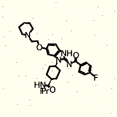 CC(C)NC(=O)[C@H]1CC[C@@H](n2/c(=N/C(=O)c3ccc(F)cc3)[nH]c3ccc(OCCN4CCCCC4)cc32)CC1